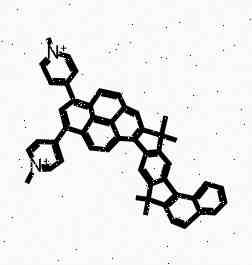 C[n+]1ccc(-c2cc(-c3cc[n+](C)cc3)c3ccc4c5c(cc6ccc2c3c64)C(C)(C)c2cc3c(cc2-5)C(C)(C)c2ccc4ccccc4c2-3)cc1